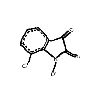 CCN1C(=O)C(=O)c2cccc(Cl)c21